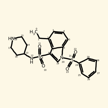 CCc1cccc2c1c(S(=O)(=O)NC1CCNCC1)cn2S(=O)(=O)c1ccccc1